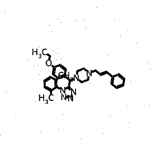 CCOc1ccc(C(c2nnnn2-c2c(C)cccc2C)N2CCN(CC=Cc3ccccc3)CC2)cc1